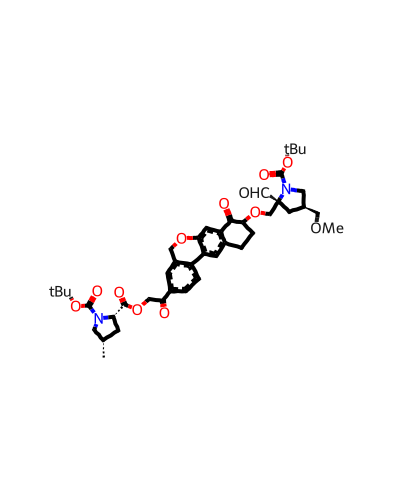 COC[C@@H]1CN(C(=O)OC(C)(C)C)[C@@](C=O)(COC2CCc3cc4c(cc3C2=O)OCc2cc(C(=O)COC(=O)[C@@H]3C[C@H](C)CN3C(=O)OC(C)(C)C)ccc2-4)C1